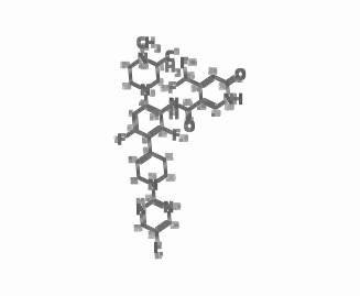 CC1CN(c2cc(F)c(C3=CCN(c4ncc(F)cn4)CC3)c(F)c2NC(=O)c2c[nH]c(=O)cc2C(F)F)CCN1C